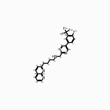 Fc1ccc(-c2cnc(CNCCCCc3ccc4cccnc4n3)nc2)cc1C(F)(F)F